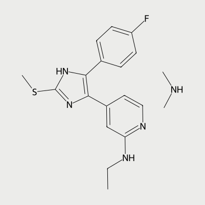 CCNc1cc(-c2nc(SC)[nH]c2-c2ccc(F)cc2)ccn1.CNC